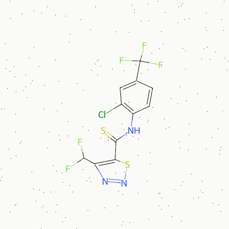 FC(F)c1nnsc1C(=S)Nc1ccc(C(F)(F)F)cc1Cl